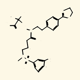 CN(CCc1ccc(C2=NCCN2)cc1)C(=O)CCCN(C)S(=O)(=O)c1cccc(Br)c1.O=C(O)C(F)(F)F